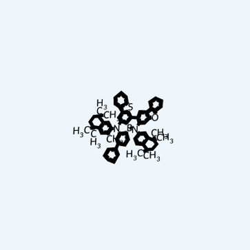 Cc1cc2c(cc1N1c3cc(-c4ccccc4)ccc3B3c4c1cc1c(sc5ccccc51)c4-c1cc4c(cc1N3c1ccc3c(c1)C(C)(C)CCC3(C)C)oc1ccccc14)C(C)(C)CCC2(C)C